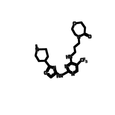 CN1CCC(c2nc(Nc3ncc(C(F)(F)F)c(NCCCN4CCOCCC4=O)n3)co2)CC1